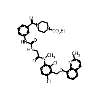 CCOC(=O)N1CCN(C(=O)c2cccc(NC(=O)NCC(=O)N(C)c3ccc(Cl)c(COc4cccc5ccc(C)nc45)c3Cl)c2)CC1